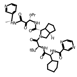 CCC[C@H](NC(=O)[C@@H]1C2CCC[C@H]2CN1C(=O)[C@@H](NC(=O)[C@@H](NC(=O)c1cnccn1)C1CCCCC1)C(C)(C)C)C(=O)C(=O)N[C@H](C)c1cccnc1